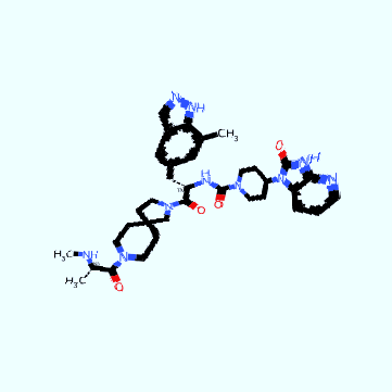 CN[C@@H](C)C(=O)N1CCC2(CC1)CCN(C(=O)[C@H](Cc1cc(C)c3[nH]ncc3c1)NC(=O)N1CCC(n3c(=O)[nH]c4ncccc43)CC1)C2